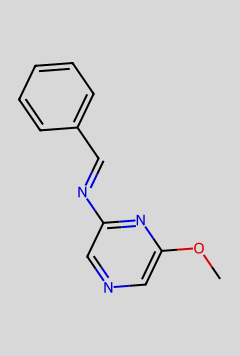 COc1cncc(N=Cc2ccccc2)n1